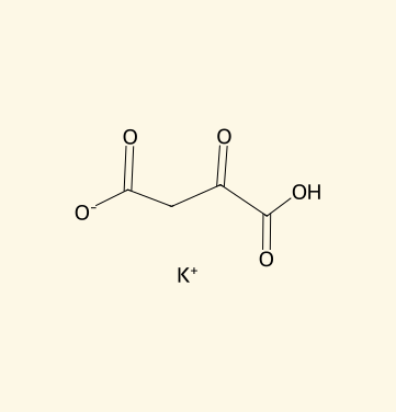 O=C([O-])CC(=O)C(=O)O.[K+]